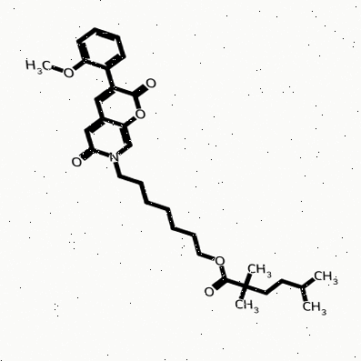 COc1ccccc1-c1cc2cc(=O)n(CCCCCCCOC(=O)C(C)(C)CCC(C)C)cc2oc1=O